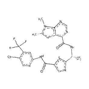 Cc1nc2c(C(=O)N[C@H](C)c3ncc(C(=O)Nc4cc(C(F)(F)F)c(Cl)cn4)s3)ncnc2n1C